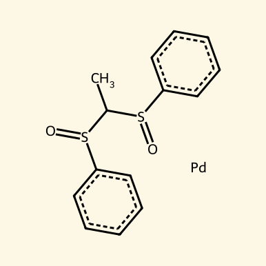 CC(S(=O)c1ccccc1)S(=O)c1ccccc1.[Pd]